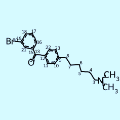 CN(C)CCCCCCc1ccc(C(=O)c2cccc(Br)c2)cc1